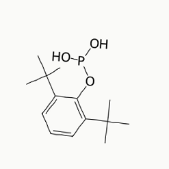 CC(C)(C)c1cccc(C(C)(C)C)c1OP(O)O